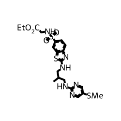 CCOC(=O)CNS(=O)(=O)c1ccc2nc(NCC(C)CNc3ncc(SC)cn3)sc2c1